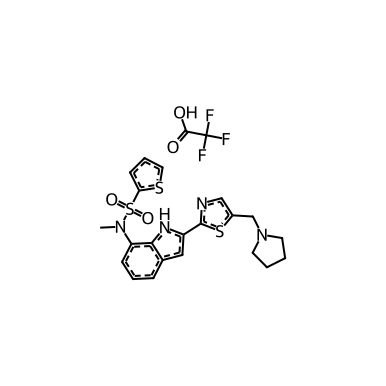 CN(c1cccc2cc(-c3ncc(CN4CCCC4)s3)[nH]c12)S(=O)(=O)c1cccs1.O=C(O)C(F)(F)F